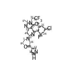 Cc1nc2cc(N3CCO[C@@H](c4cn[nH]c4)C3)nc(-c3ccc(Cl)cc3F)c2c(=O)n1CC(F)(F)F